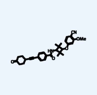 COc1cc(OC2C(C)(C)C(NC(=O)c3ccc(C#CC4CCC(=O)CC4)cc3)C2(C)C)ccc1C#N